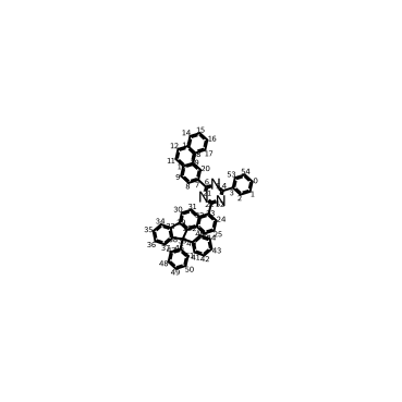 c1ccc(-c2nc(-c3ccc4ccc5ccccc5c4c3)nc(-c3cccc4c5c(ccc34)-c3ccccc3C5(c3ccccc3)c3ccccc3)n2)cc1